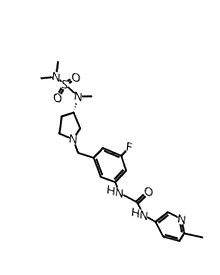 Cc1ccc(NC(=O)Nc2cc(F)cc(CN3CC[C@H](N(C)S(=O)(=O)N(C)C)C3)c2)cn1